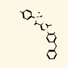 Cc1nc(C(=O)N(c2ccc(C(=O)O)cc2)[SH](=O)=O)cn1-c1ccc(Cc2ccccc2)cc1Cl